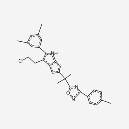 Cc1ccc(-c2noc(C(C)(C)c3cc4c(CCCl)c(-c5cc(C)cc(C)c5)[nH]c4s3)n2)cc1